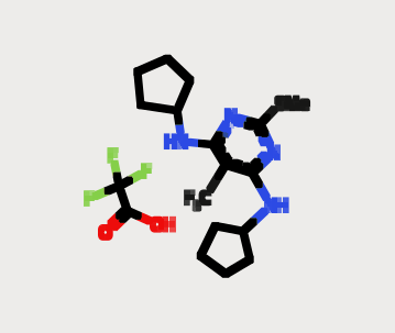 CSc1nc(NC2CCCC2)c(C(F)(F)F)c(NC2CCCC2)n1.O=C(O)C(F)(F)F